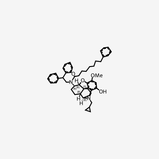 COc1cc(O)c2c3c1O[C@H]1[C@H](N(CC(c4ccccc4)c4ccccc4)C(=O)CCCCCCCc4ccccc4)CC[C@H]4[C@@H](C2)N(CC2CC2)CC[C@@]341